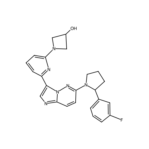 OC1CN(c2cccc(-c3cnc4ccc(N5CCCC5c5cccc(F)c5)nn34)n2)C1